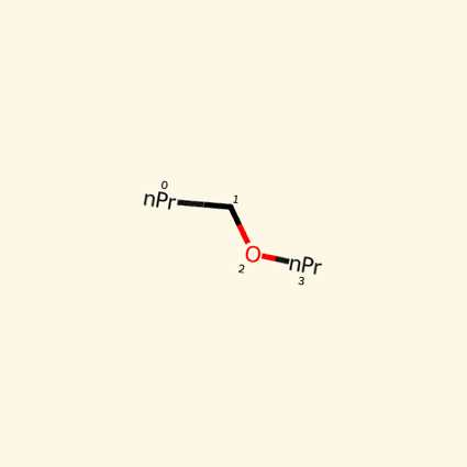 CCCCOCCC